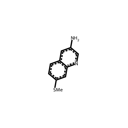 CSc1ccc2cc(N)cnc2c1